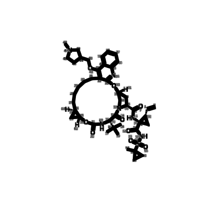 C=C[C@@H]1C[C@]1(NC(=O)[C@@H]1C[C@@H]2CN1C(=O)[C@H](C(C)(C)C)NC(=O)O[C@@H]1C[C@H]1CCCCCc1c(nc3ccccc3c1OCC1CCN(C)C1)O2)C(=O)NS(=O)(=O)C1(C)CC1